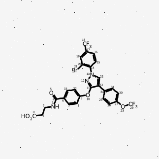 O=C(O)CCNC(=O)c1ccc(Oc2nn(-c3ccc(C(F)(F)F)cc3Br)cc2-c2ccc(OC(F)(F)F)cc2)cc1